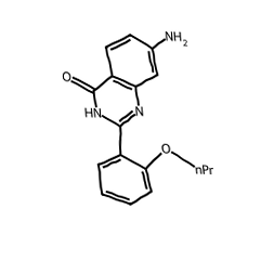 CCCOc1ccccc1-c1nc2cc(N)ccc2c(=O)[nH]1